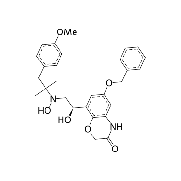 COc1ccc(CC(C)(C)N(O)C[C@H](O)c2cc(OCc3ccccc3)cc3c2OCC(=O)N3)cc1